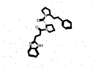 O=C([C@@H]1CCCN1C(=O)CCc1nc2ccccc2[nH]1)N1CCCC1CCc1ccccc1